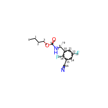 CCCCOC(=O)N[C@H](C)c1cc(F)cc(C#N)c1F